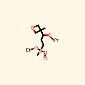 CCCOC(CC[Si](C)(OCC)OCC)C1(C)COC1